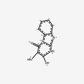 CCCCc1c(O)[nH]c2nc3ccccc3n2c1=O